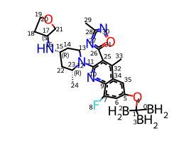 BC(B)(B)Oc1cc(F)c2nc(N3CC[C@@H](N[C@H]4CCOC4)C[C@H]3C)c(-c3nc(C)no3)c(C)c2c1